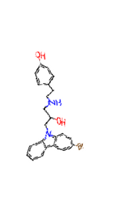 Oc1ccc(CCNCC(O)Cn2c3ccccc3c3cc(Br)ccc32)cc1